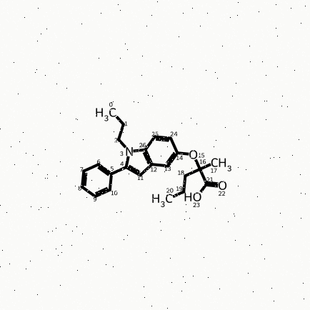 CCCn1c(-c2ccccc2)cc2cc(OC(C)(CCC)C(=O)O)ccc21